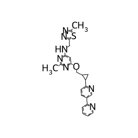 Cc1nc(NCc2nnc(C)s2)cc(OCC2CC2c2ccc(-c3ccccn3)cn2)n1